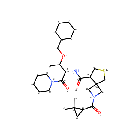 C[C@@H](OCC1CCCCC1)[C@H](NC(=O)C1CSCC12CN(C(=O)[C@H]1CC1(C)C)C2)C(=O)N1CCCCC1